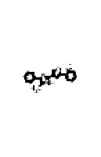 Cc1[nH]c(-c2coc(-c3ccccc3C(F)(F)F)c2)nc1-c1ccccc1